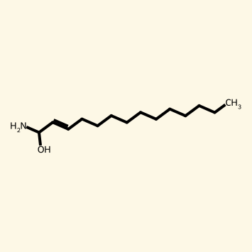 CCCCCCCCCCCC=CC(N)O